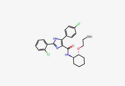 CC(=O)OCCO[C@@H]1CCCC[C@H]1NC(=O)c1nc(-c2ccccc2Cl)[nH]c1-c1ccc(Cl)cc1